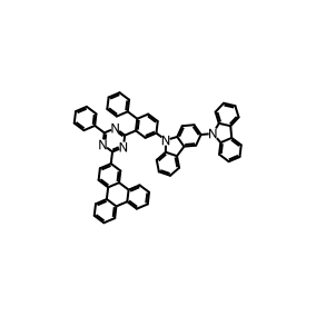 c1ccc(-c2nc(-c3ccc4c5ccccc5c5ccccc5c4c3)nc(-c3cc(-n4c5ccccc5c5cc(-n6c7ccccc7c7ccccc76)ccc54)ccc3-c3ccccc3)n2)cc1